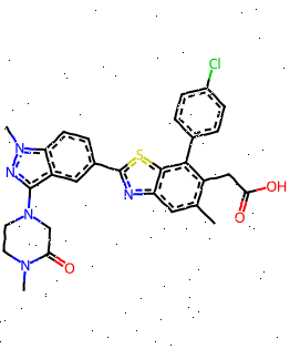 Cc1cc2nc(-c3ccc4c(c3)c(N3CCN(C)C(=O)C3)nn4C)sc2c(-c2ccc(Cl)cc2)c1CC(=O)O